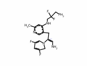 Cc1cc(NCC(F)(F)CP)c(C/C(=C/N)N2C=C(F)C=C(F)C2)cn1